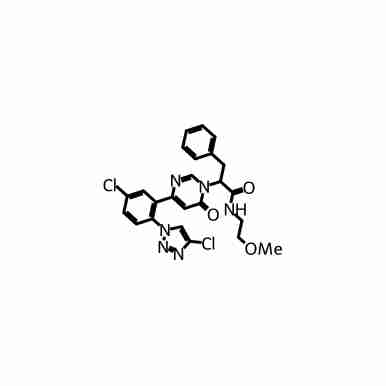 COCCNC(=O)C(Cc1ccccc1)n1cnc(-c2cc(Cl)ccc2-n2cc(Cl)nn2)cc1=O